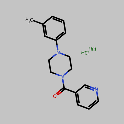 Cl.Cl.O=C(c1cccnc1)N1CCN(c2cccc(C(F)(F)F)c2)CC1